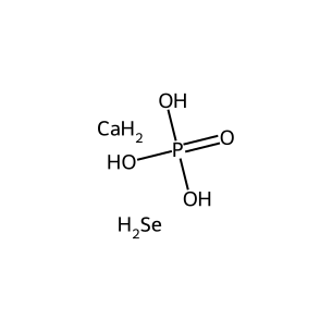 O=P(O)(O)O.[CaH2].[SeH2]